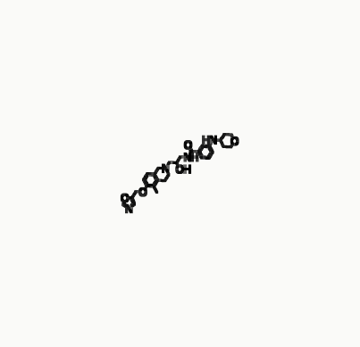 Cc1c(OCc2cnco2)ccc2c1CCN(CC(O)CNC(=O)c1cccc(NC3CCOCC3)c1)C2